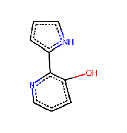 Oc1cccnc1-c1ccc[nH]1